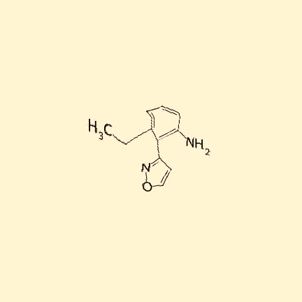 CCc1cccc(N)c1-c1ccon1